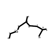 CCSCC(C)CCC(C)C